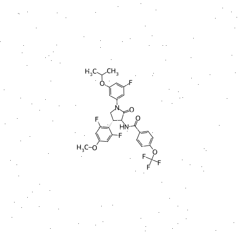 COc1cc(F)c([C@@H]2CN(c3cc(F)cc(OC(C)C)c3)C(=O)C2NC(=O)c2ccc(OC(F)(F)F)cc2)c(F)c1